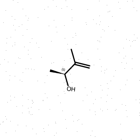 C=C(C)[C@H](C)O